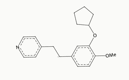 COc1ccc([CH]Cc2ccncc2)cc1OC1CCCC1